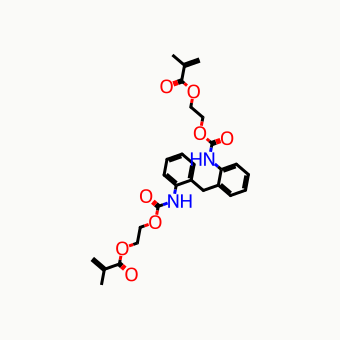 C=C(C)C(=O)OCCOC(=O)Nc1ccccc1Cc1ccccc1NC(=O)OCCOC(=O)C(=C)C